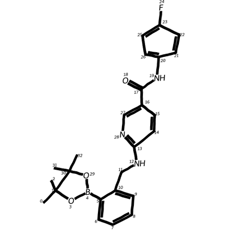 CC1(C)OB(c2ccccc2CNc2ccc(C(=O)Nc3ccc(F)cc3)cn2)OC1(C)C